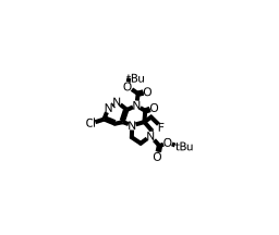 CC(C)(C)OC(=O)N1CCN2c3cc(Cl)nnc3N(C(=O)OC(C)(C)C)C(=O)C2(CF)C1